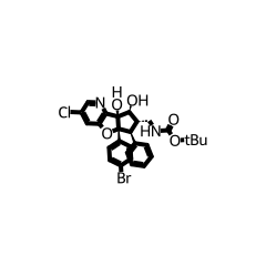 CC(C)(C)OC(=O)NC[C@H]1[C@@H](O)[C@@]2(O)c3ncc(Cl)cc3O[C@@]2(c2ccc(Br)cc2)[C@@H]1c1ccccc1